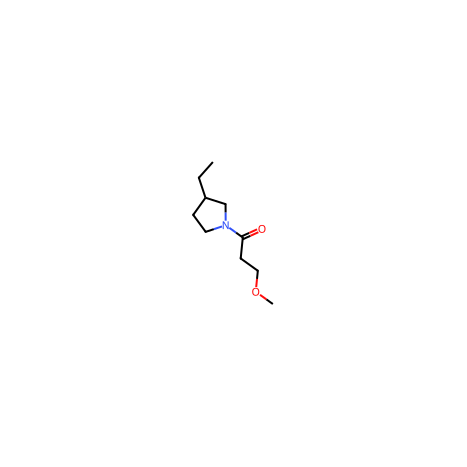 CCC1CCN(C(=O)CCOC)C1